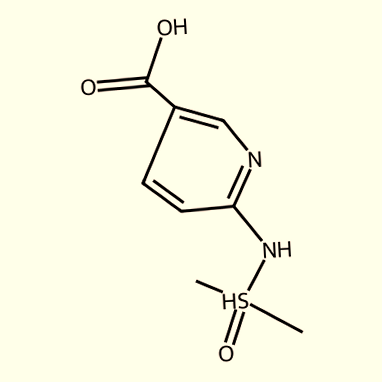 C[SH](C)(=O)Nc1ccc(C(=O)O)cn1